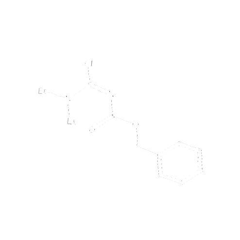 CCN(CC)/S(=N\C(=O)OCc1ccccc1)C(F)(F)F